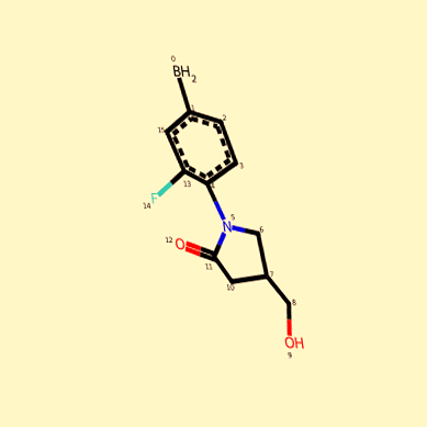 Bc1ccc(N2CC(CO)CC2=O)c(F)c1